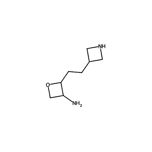 NC1COC1CCC1CNC1